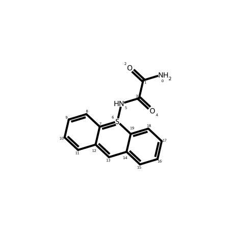 NC(=O)C(=O)NS1=c2ccccc2=Cc2ccccc21